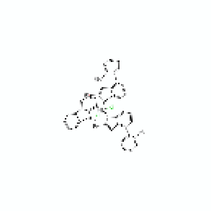 CC(C)C1=Cc2c(-c3ccccc3C(C)(C)C)cccc2[CH]1[Hf]([Cl])([Cl])([c]1cccc2c1[SiH2]c1ccccc1-2)[CH]1C(C(C)C)=Cc2c(-c3ccccc3C(C)(C)C)cccc21